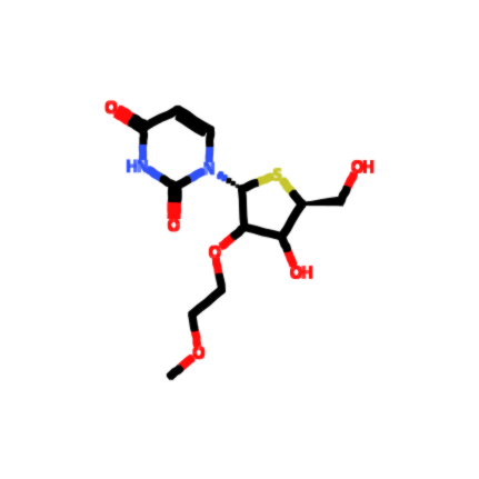 COCCOC1C(O)[C@H](CO)S[C@H]1n1ccc(=O)[nH]c1=O